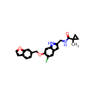 CC1(C(=O)NCc2cc3cc(F)c(OCc4ccc5ccoc5c4)cc3[nH]2)CC1